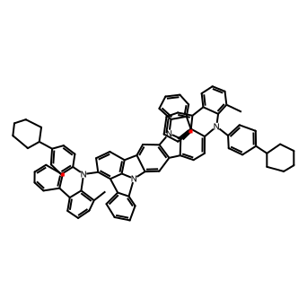 Cc1cccc(-c2ccccc2)c1N(c1ccc(C2CCCCC2)cc1)c1ccc2c3cc4c(cc3n3c5ccccc5c1c23)c1ccc(N(c2ccc(C3CCCCC3)cc2)c2c(C)cccc2-c2ccccc2)c2c3ccccc3n4c12